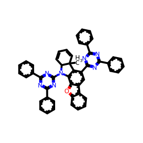 CC12C=CC=CC1N(c1nc(-c3ccccc3)nc(-c3ccccc3)n1)c1c2c(-c2nc(-c3ccccc3)nc(-c3ccccc3)n2)cc2c1oc1ccccc12